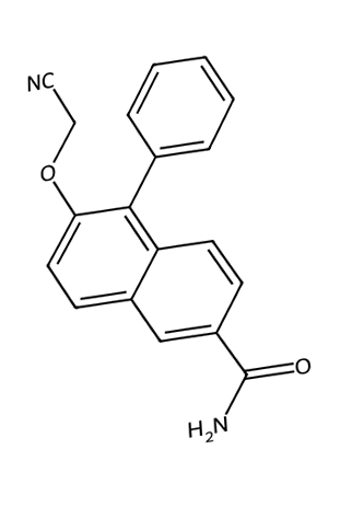 N#CCOc1ccc2cc(C(N)=O)ccc2c1-c1ccccc1